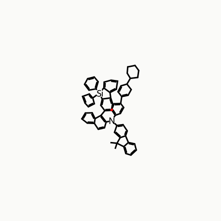 CC1(C)c2ccccc2-c2ccc(N(c3ccc(C4=CCC(C5CCCCC5)C=C4)cc3)c3ccc4ccccc4c3-c3ccc4c(c3)[Si](c3ccccc3)(c3ccccc3)c3ccccc3-4)cc21